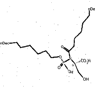 CCCCCCCCCCCCCCCCOP(=O)(O)N(C(=O)CCCCCCCCCCCCCCC)[C@@H](CO)C(=O)O